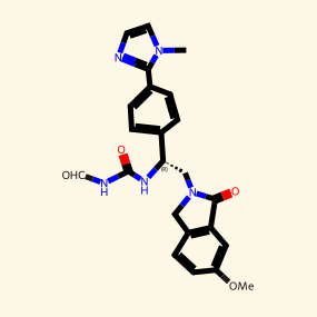 COc1ccc2c(c1)C(=O)N(C[C@H](NC(=O)NC=O)c1ccc(-c3nccn3C)cc1)C2